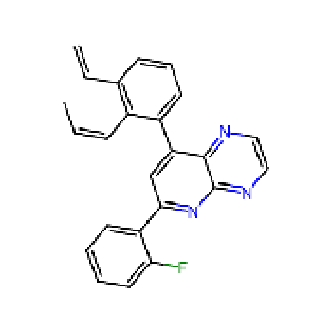 C=Cc1cccc(-c2cc(-c3ccccc3F)nc3nccnc23)c1/C=C\C